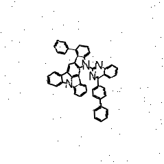 c1ccc(-c2ccc(-c3nc(-n4c5cccc(-c6ccccc6)c5c5cc6c7ccccc7n7c8ccccc8c(c54)c67)nc4ccccc34)cc2)cc1